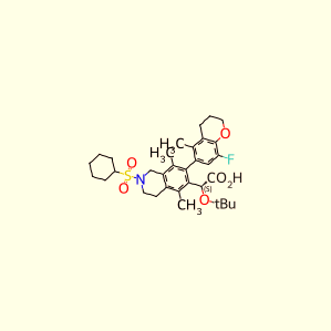 Cc1c(-c2c(C)c3c(c(C)c2[C@H](OC(C)(C)C)C(=O)O)CCN(S(=O)(=O)C2CCCCC2)C3)cc(F)c2c1CCCO2